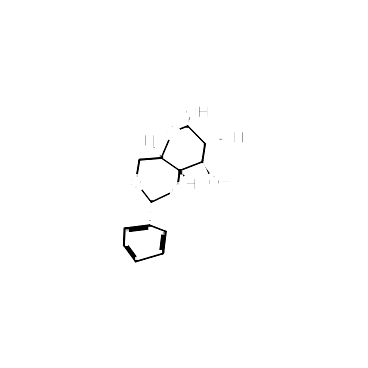 O[C@@H]1[C@@H](O)[C@@H](O)O[C@@H]2CO[C@@H](c3ccccc3)O[C@@H]12